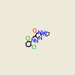 O=c1[nH]c(N2CCCC2)nc2nn(-c3c(Cl)cccc3Cl)cc12